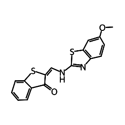 COc1ccc2nc(NC=C3Sc4ccccc4C3=O)sc2c1